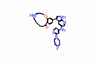 CN1CCN(c2cc(Nc3cnc4[nH]cc(-c5ccc6c(c5)OCCCNCCCCC6=O)c4c3)ccn2)CC1